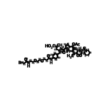 CC[C@H](C)[C@H](NC(=O)[C@H]1CCCCN1C)C(=O)N(C)[C@H](C[C@@H](OC(C)=O)c1nc(C(=O)N[C@@H](Cc2ccc(NC(=O)CCOCCOCCNC(=O)CBr)cc2)C[C@H](C)C(=O)O)cs1)C(C)C